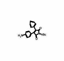 CCCCN1C(=O)C(c2ccccc2)=C(c2ccc(N)cc2)C1=O